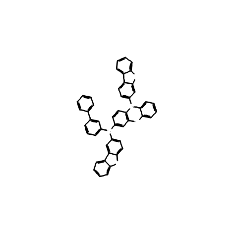 c1ccc(-c2cccc(N(c3ccc4c(c3)Oc3ccccc3N4c3ccc4c(c3)oc3ccccc34)c3ccc4sc5ccccc5c4c3)c2)cc1